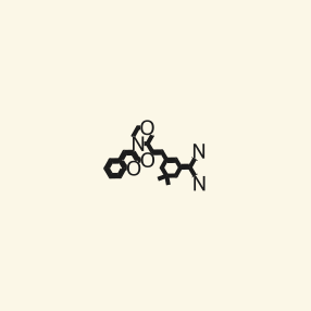 CC1(C)CC(C=CC2COCCN2c2cc3ccccc3oc2=O)=CC(=C(C#N)C#N)C1